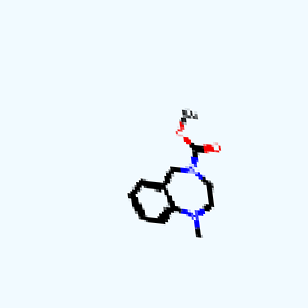 CN1CCN(C(=O)OC(C)(C)C)Cc2ccccc21